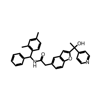 Cc1ccc(C(NC(=O)Cc2ccc3oc(C(C)(O)c4ccncc4)cc3c2)c2ccccc2)c(C)c1